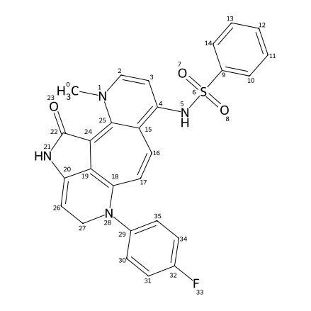 CN1C=CC(NS(=O)(=O)c2ccccc2)=c2ccc3c4c([nH]c(=O)c-4c21)=CCN3c1ccc(F)cc1